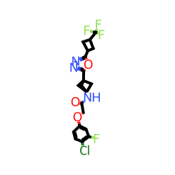 O=C(COc1ccc(Cl)c(F)c1)NC12CC(c3nnc(C4CC(C(F)(F)F)C4)o3)(C1)C2